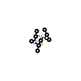 CC(c1ccc2c(c1)oc1cc(-c3ccccc3)cc(-c3nc(-c4ccc(-c5ccccc5)cc4)c4ccccc4n3)c12)[C@H]1Cc2ccccc2-c2ccc(-c3ccccc3)cc21